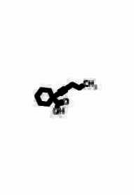 CCCC#CC1(C(=O)O)CCCCC1